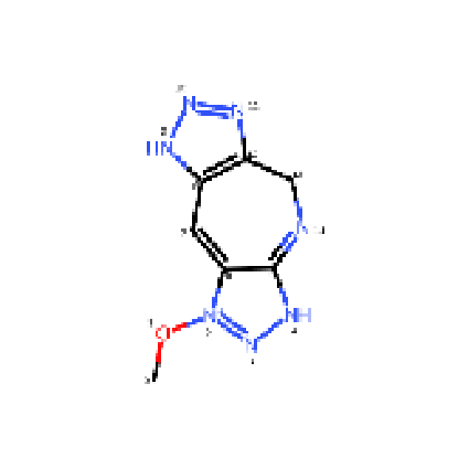 CO[n+]1n[nH]c2c1=Cc1[nH]nnc1CN=2